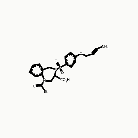 CC#CCOc1ccc(S(=O)(=O)N2Cc3ccccc3N(C(=O)CC)CC2C(=O)O)cc1